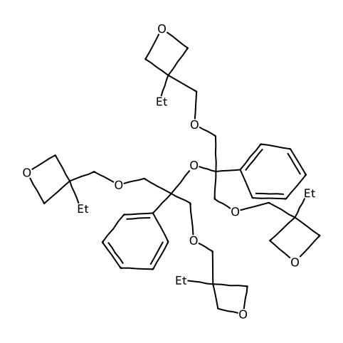 CCC1(COCC(COCC2(CC)COC2)(OC(COCC2(CC)COC2)(COCC2(CC)COC2)c2ccccc2)c2ccccc2)COC1